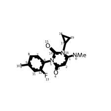 CNc1cc(=O)n(-c2ccc(I)cc2F)c(=O)n1C1CC1